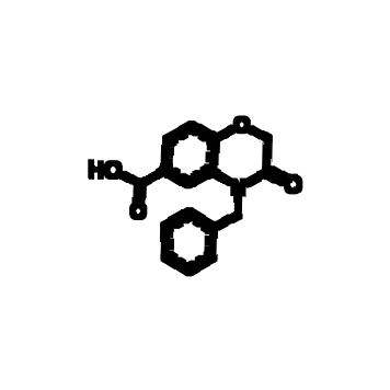 O=C(O)c1ccc2c(c1)N(Cc1ccccc1)C(=O)CO2